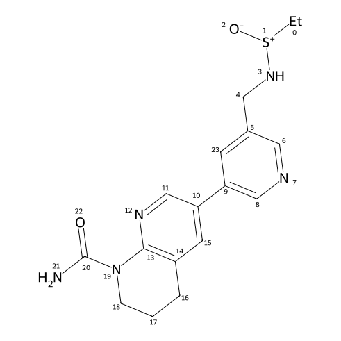 CC[S+]([O-])NCc1cncc(-c2cnc3c(c2)CCCN3C(N)=O)c1